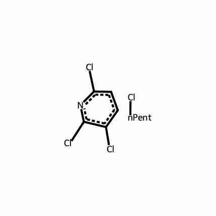 CCCCCCl.Clc1ccc(Cl)c(Cl)n1